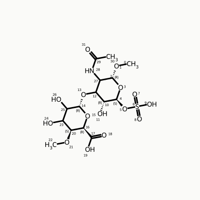 CO[C@@H]1O[C@@H](OS(=O)(=O)O)[C@H](O)C(O[C@@H]2O[C@@H](C(=O)O)[C@@H](OC)C(O)C2O)C1NC(C)=O